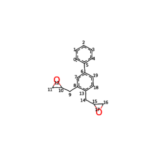 [c]1ccccc1-c1[c]c(CC2CO2)c(CC2CO2)cc1